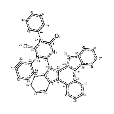 O=c1nc(-n2c3c(c4c5ccccc5c5c6ccccc6sc5c42)C=CCC3)n(-c2c#cccc2)c(=O)n1-c1ccccc1